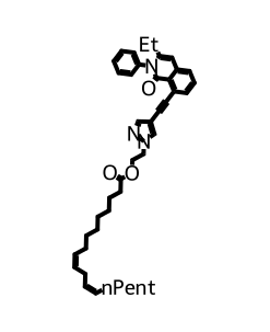 CCCCC/C=C\C/C=C\CCCCCCCC(=O)OCCn1cc(C#Cc2cccc3cc(CC)n(-c4ccccc4)c(=O)c23)cn1